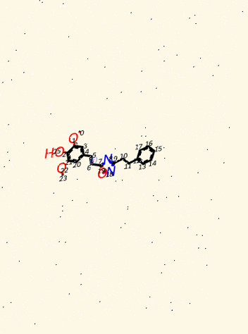 COc1cc(/C=C/c2nc(CCc3ccccc3)no2)cc(OC)c1O